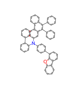 c1ccc(-c2ccccc2N(c2ccc(-c3cccc4c3oc3ccccc34)cc2)c2ccc3c(c2)c(-c2ccccc2)c(-c2ccccc2)c2ccccc23)cc1